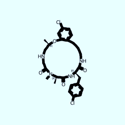 C[C@@H]1CNCC(=O)N(C)[C@H](C)C(=O)N[C@H](Cc2ccc(Cl)cc2)C(=O)NCCCc2ccc(Cl)cc2O1